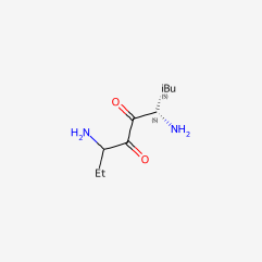 CCC(N)C(=O)C(=O)[C@@H](N)[C@@H](C)CC